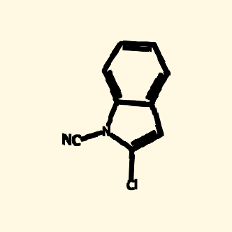 N#Cn1c(Cl)cc2ccccc21